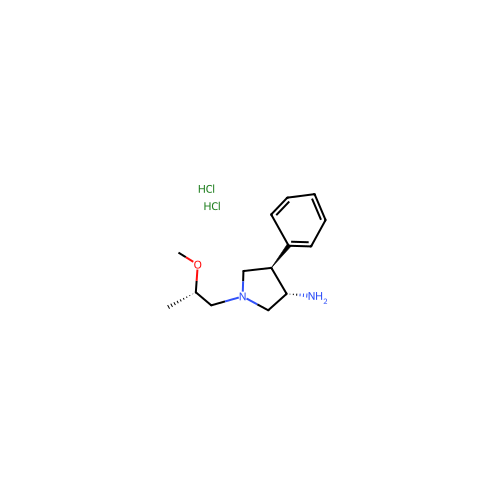 CO[C@@H](C)CN1C[C@@H](N)[C@H](c2ccccc2)C1.Cl.Cl